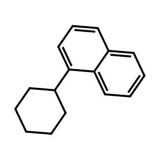 c1ccc2c(C3CCCCC3)cccc2c1